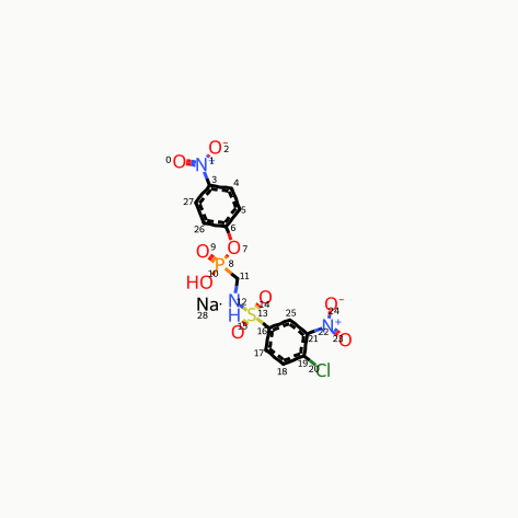 O=[N+]([O-])c1ccc(OP(=O)(O)CNS(=O)(=O)c2ccc(Cl)c([N+](=O)[O-])c2)cc1.[Na]